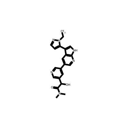 CN(C)C(=O)C(O)c1cncc(-c2cnc3[nH]cc(-c4ccnn4CC(F)(F)F)c3c2)c1